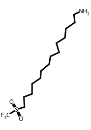 NCCCCCCCCCCCCCCS(=O)(=O)C(F)(F)F